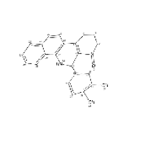 O=C1CCCC2=C1C(c1ccc(O)c(O)c1)Nc1c2ccc2ccccc12